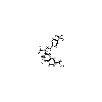 CC(C)[C@@H](OCc1ccc(S(C)(=O)=O)cc1)C(=O)N[C@@H](C)c1ccc(C(=O)O)cc1